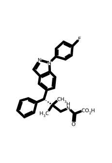 CC(C)(CNC(=O)C(=O)O)[C@H](c1ccccc1)c1ccc2c(cnn2-c2ccc(F)cc2)c1